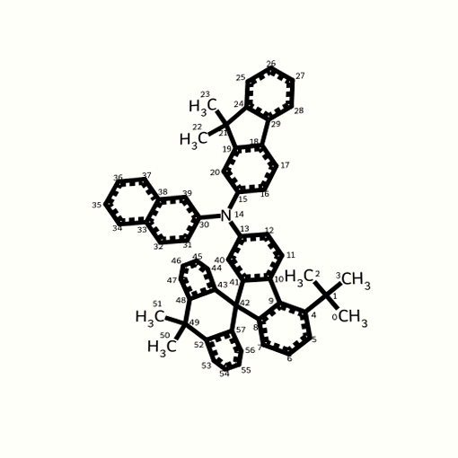 CC(C)(C)c1cccc2c1-c1ccc(N(c3ccc4c(c3)C(C)(C)c3ccccc3-4)c3ccc4ccccc4c3)cc1C21c2ccccc2C(C)(C)c2ccccc21